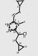 Cn1c(SCC2CC2)nnc1C(Cl)CC1CC1